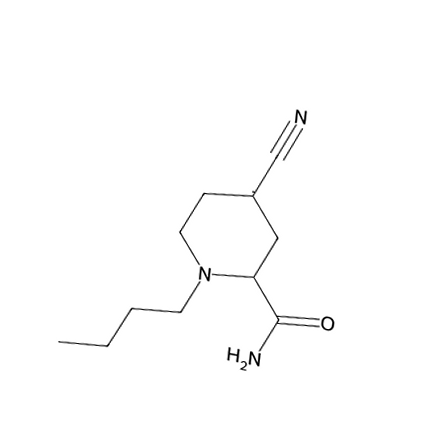 CCCCN1CC[C](C#N)CC1C(N)=O